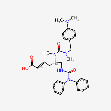 CN(Cc1ccc(N(C)C)cc1)C(=O)N(C)[C@@H](C/C=C/C(=O)O)CNC(=O)N(c1ccccc1)c1ccccc1